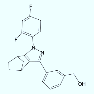 OCc1cccc(-c2nn(-c3ccc(F)cc3F)c3c2C2CCC3C2)c1